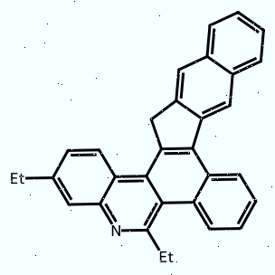 CCc1ccc2c(c1)nc(CC)c1c3ccccc3c3c(c21)Cc1cc2ccccc2cc1-3